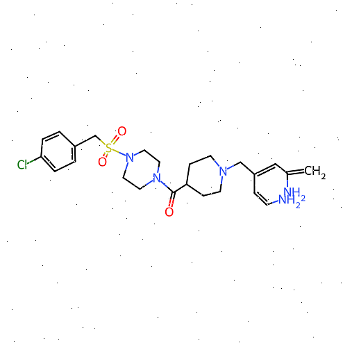 C=C(N)/C=C(\C=C/N)CN1CCC(C(=O)N2CCN(S(=O)(=O)Cc3ccc(Cl)cc3)CC2)CC1